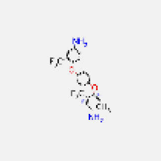 C/C=C(Oc1ccc(Oc2ccc(N)cc2C(F)(F)F)cc1)\C(=C/CN)C(F)(F)F